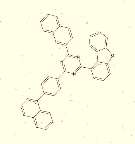 c1ccc2cc(-c3nc(-c4ccc(-c5cccc6ccccc56)cc4)nc(-c4cccc5oc6ccccc6c45)n3)ccc2c1